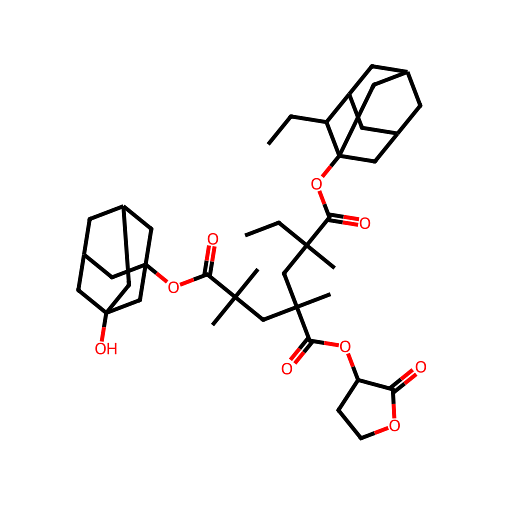 CCC1C2CC3CC(C2)CC1(OC(=O)C(C)(CC)CC(C)(CC(C)(C)C(=O)OC12CC4CC(CC(O)(C4)C1)C2)C(=O)OC1CCOC1=O)C3